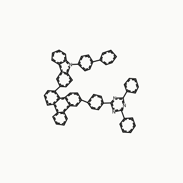 c1ccc(-c2ccc(-n3c4ccccc4c4cc(-c5cccc6c7ccccc7c7cc(-c8ccc(-c9nc(-c%10ccccc%10)nc(-c%10ccccc%10)n9)cc8)ccc7c56)ccc43)cc2)cc1